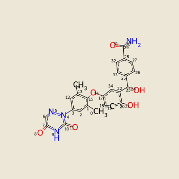 Cc1cc(-n2ncc(=O)[nH]c2=O)cc(C)c1Oc1ccc(O)c(C(O)c2ccc(C(N)=O)cc2)c1